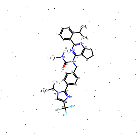 CC(C)c1ccccc1-c1nc2c(c(N(Cc3ccc(-c4nc(C(F)(F)F)cn4C(C)C)cc3)C(=O)N(C)C)n1)CCC2